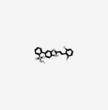 NS(=O)(=O)c1ccccc1-c1ccc2[nH]c(/C=C/c3c(F)cccc3F)nc2c1